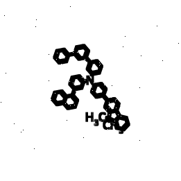 CC1(C)c2ccccc2-c2ccc(-c3ccc(N(c4cccc(-c5cccc(-c6ccccc6)c5)c4)c4cccc(-c5cccc6ccccc56)c4)cc3)cc21